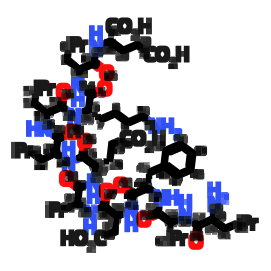 CC(C)C[C@H](NC(=O)[C@H](CCCCN)NC(=O)[C@H](CC(C)C)NC(=O)[C@H](CC(C)C)NC(=O)[C@H](CCC(=O)O)NC(=O)[C@@H](NC(=O)[C@H](CC(=O)O)NC(=O)[C@H](Cc1ccccc1)NC(=O)[C@@H](NC(=O)[C@@H](N)CC(C)C)C(C)C)C(C)C)C(=O)N[C@@H](CCC(=O)O)C(=O)O